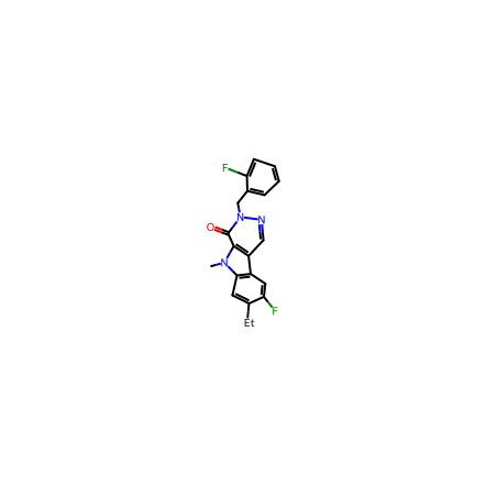 CCc1cc2c(cc1F)c1cnn(Cc3ccccc3F)c(=O)c1n2C